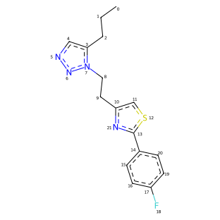 CCCc1cnnn1CCc1csc(-c2ccc(F)cc2)n1